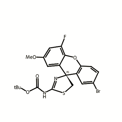 COc1cc(F)c2c(c1)[C@]1(CSC(NC(=O)OC(C)(C)C)=N1)c1cc(Br)ccc1O2